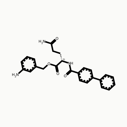 NC(=O)CC[C@H](NC(=O)c1ccc(-c2ccccc2)cc1)C(=O)OCc1cccc(N)c1